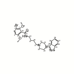 COc1ccc(Br)c(OC)c1C(=O)NCCCCN1CCN(c2nsc3ccccc23)CC1